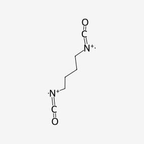 O=C=[N+]CCCC[N+]=C=O